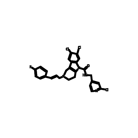 O=C(NCc1ccnc(Cl)c1)n1c2c(c3cc(Cl)c(Cl)cc31)CN(CC=Cc1ccc(F)cc1)CC2